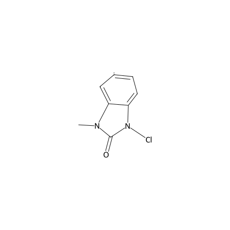 Cn1c(=O)n(Cl)c2cc[c]cc21